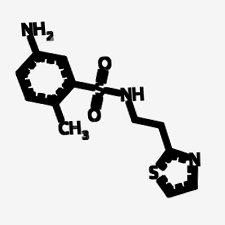 Cc1ccc(N)cc1S(=O)(=O)NCCc1nccs1